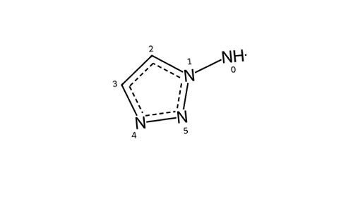 [NH]n1ccnn1